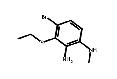 CCSc1c(Br)ccc(NC)c1N